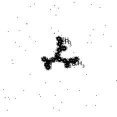 CC1(C)c2ccccc2-c2ccc(-n3c4ccccc4c4cc(-c5ccc6c(c5)c5cc(-c7ccc8c(c7)c7ccccc7n8-c7ccc8c(c7)C(C)(C)c7ccccc7-8)ccc5n6-c5ccc(-c6nc(-c7ccccc7)c7ccc8ccccc8c7n6)cc5)ccc43)cc21